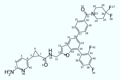 Nc1ccc(C2CC2C(=O)NCc2cc3cc(-c4ccc(C(=O)N5CCC(F)(F)CC5)cc4)cc(-c4ccc(F)cc4F)c3o2)cn1